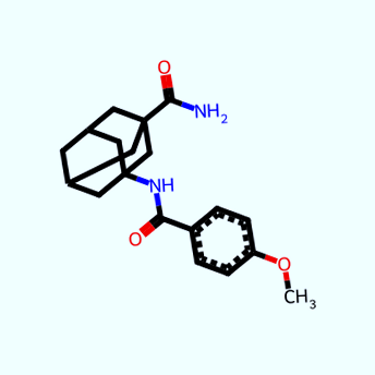 COc1ccc(C(=O)NC23CC4CC(C2)CC(C(N)=O)(C4)C3)cc1